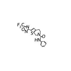 O=C(Nc1ccccc1)N1CCc2cc(-c3noc(C(F)(F)F)n3)sc2C1